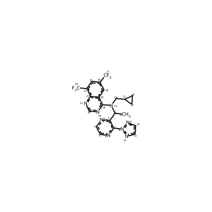 CC(c1nccnc1-n1nccn1)N(CC1CC1)c1ncnc2c(C(F)(F)F)cc(C(F)(F)F)cc12